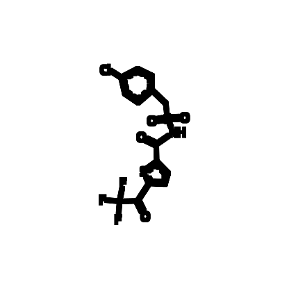 O=C(NS(=O)(=O)Cc1ccc(Cl)cc1)c1ccc(C(=O)C(F)(F)F)s1